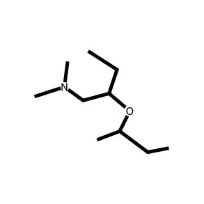 CCC(C)OC(CC)CN(C)C